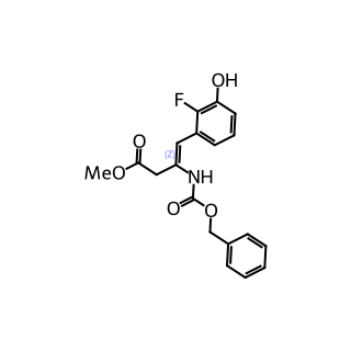 COC(=O)C/C(=C/c1cccc(O)c1F)NC(=O)OCc1ccccc1